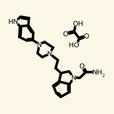 NC(=O)CN1CC(CCN2CCN(c3ccc4[nH]ccc4c3)CC2)c2ccccc21.O=C(O)C(=O)O